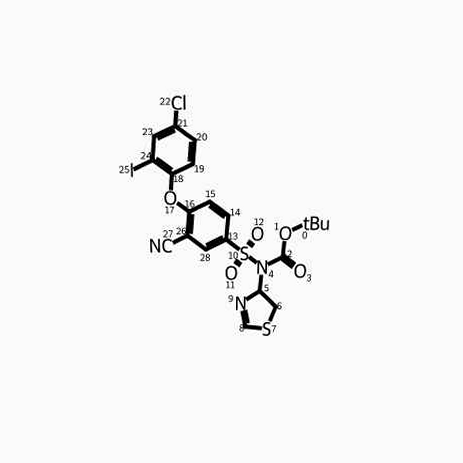 CC(C)(C)OC(=O)N(C1CSC=N1)S(=O)(=O)c1ccc(Oc2ccc(Cl)cc2I)c(C#N)c1